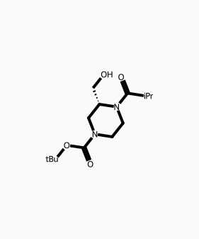 CC(C)C(=O)N1CCN(C(=O)OC(C)(C)C)C[C@@H]1CO